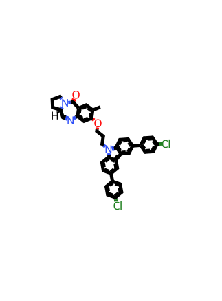 Cc1cc2c(cc1OCCCn1c3ccc(-c4ccc(Cl)cc4)cc3c3cc(-c4ccc(Cl)cc4)ccc31)N=C[C@@H]1CCCN1C2=O